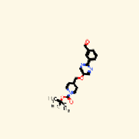 CC(C)(C)OC(=O)N1CCC(COc2cnc(-c3cccc(C=O)c3)nc2)CC1